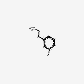 CC[CH]c1cccc(I)c1